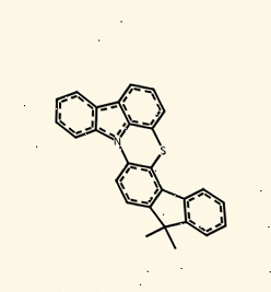 CC1(C)c2ccccc2-c2c1ccc1c2Sc2cccc3c4ccccc4n-1c23